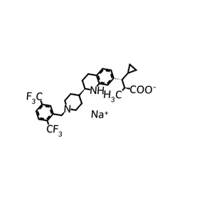 C[C@H](C(=O)[O-])[C@H](c1ccc2c(c1)N[C@@H](C1CCN(Cc3cc(C(F)(F)F)ccc3C(F)(F)F)CC1)CC2)C1CC1.[Na+]